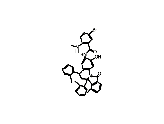 CNc1ccc(Br)cc1C(=O)Nc1cc2c(cc1O)N(C(C)=O)C(c1ccccc1C)(c1ccccc1C)CC2c1ccccc1C